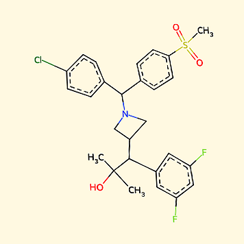 CC(C)(O)C(c1cc(F)cc(F)c1)C1CN(C(c2ccc(Cl)cc2)c2ccc(S(C)(=O)=O)cc2)C1